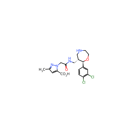 Cc1cc(C(=O)O)n(CC(=O)NC[C@@H]2CNCCO[C@H]2c2ccc(Cl)c(Cl)c2)n1